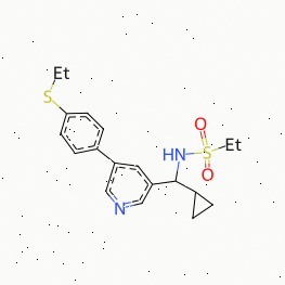 CCSc1ccc(-c2cncc(C(NS(=O)(=O)CC)C3CC3)c2)cc1